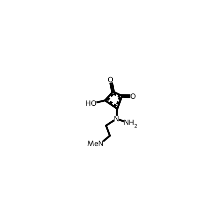 CNCCN(N)c1c(O)c(=O)c1=O